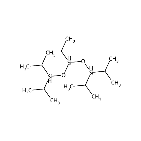 CC[SiH](O[SiH](C(C)C)C(C)C)O[SiH](C(C)C)C(C)C